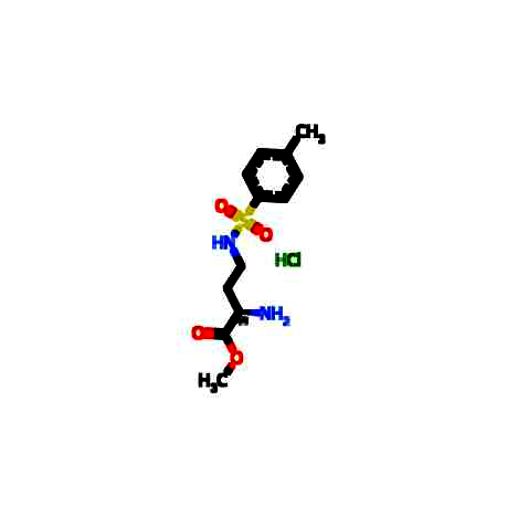 COC(=O)[C@H](N)CCNS(=O)(=O)c1ccc(C)cc1.Cl